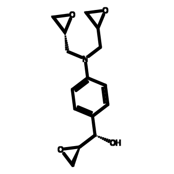 O[C@@H](c1ccc(N(CC2CO2)C[C@@H]2CO2)cc1)[C@H]1CO1